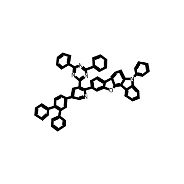 c1ccc(-c2nc(-c3ccccc3)nc(-c3cc(-c4ccc(-c5ccccc5)c(-c5ccccc5)c4)cnc3-c3ccc4c(c3)oc3c4ccc4c3c3ccccc3n4-c3ccccc3)n2)cc1